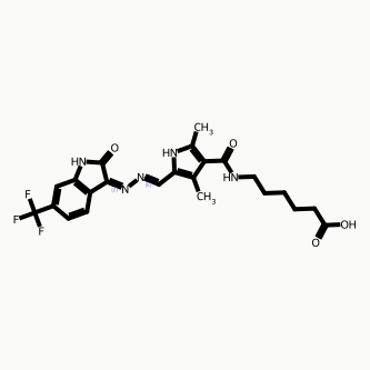 Cc1[nH]c(/C=N/N=C2\C(=O)Nc3cc(C(F)(F)F)ccc32)c(C)c1C(=O)NCCCCCC(=O)O